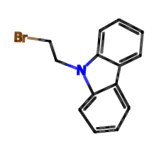 BrCCn1c2ccccc2c2ccccc21